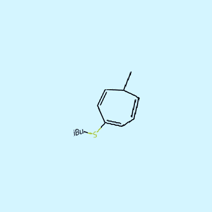 CCC(C)SC1=CC=CC(C)C=C1